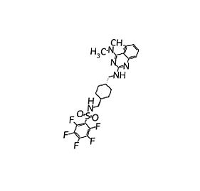 CN(C)c1nc(NC[C@H]2CC[C@H](CNS(=O)(=O)c3c(F)c(F)c(F)c(F)c3F)CC2)nc2ccccc12